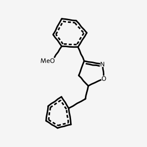 COc1ccccc1C1=NOC(Cc2ccccc2)C1